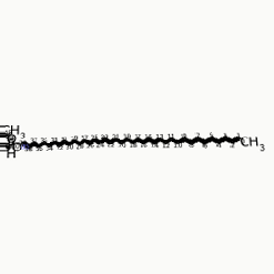 CCCCCCCCCCCCCCCCCCCCCCCCCCCCCCCCCCCCCC/C=C/O[PH](=O)OCC